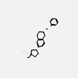 N[C@@]1(CO)CC[C@H](c2ccc3c(c2)CC[C@H](CSc2ccccc2)C3)C1